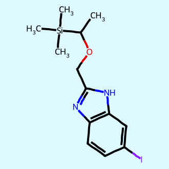 CC(OCc1nc2ccc(I)cc2[nH]1)[Si](C)(C)C